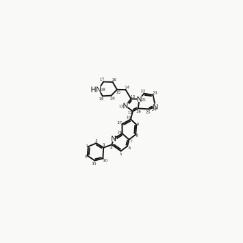 c1ccc(-c2ccc3ccc(-c4nc(CC5CCNCC5)n5ccncc45)cc3n2)cc1